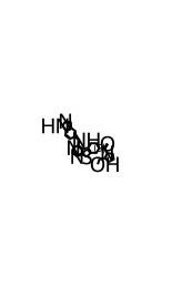 O=C([C@H]1CCc2c(sc3ncnc(Nc4ccc5[nH]ncc5c4)c23)C1)N1CCCC1CO